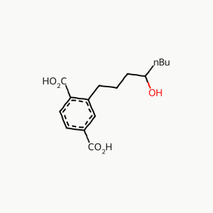 CCCCC(O)CCCc1cc(C(=O)O)ccc1C(=O)O